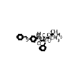 CN(C(=O)OC(C)(C)C)[C@@H](Cc1ccccc1)C(=O)Nc1ccc(SCc2ccccc2)cc1